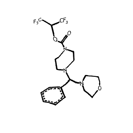 O=C(OC(C(F)(F)F)C(F)(F)F)N1CCN(C(c2ccccc2)N2CCOCC2)CC1